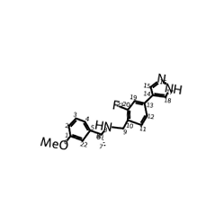 COc1cccc([C@@H](C)NCc2ccc(-c3cn[nH]c3)cc2F)c1